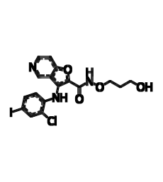 O=C(NOCCCO)c1oc2ccncc2c1Nc1ccc(I)cc1Cl